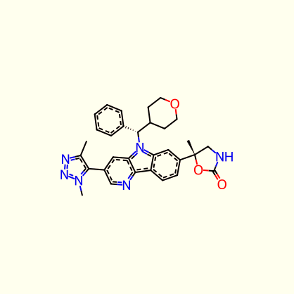 Cc1nnn(C)c1-c1cnc2c3ccc([C@]4(C)CNC(=O)O4)cc3n([C@H](c3ccccc3)C3CCOCC3)c2c1